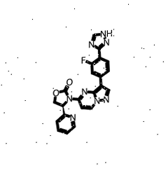 O=C1OC[C@H](c2ccccn2)N1c1ccn2ncc(-c3ccc(-c4nc[nH]n4)c(F)c3)c2n1